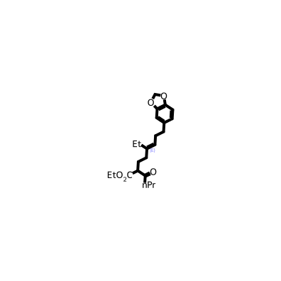 CCCC(=O)C(CC/C(=C/CCc1ccc2c(c1)OCO2)CC)C(=O)OCC